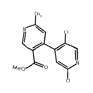 COC(=O)c1cnc(C)cc1-c1cc(Cl)ncc1Cl